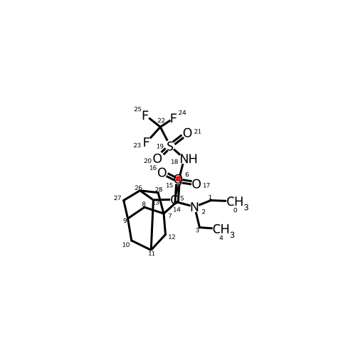 CCN(CC)C(=O)C12CC3CC(C1)C(OS(=O)(=O)NS(=O)(=O)C(F)(F)F)C(C3)C2